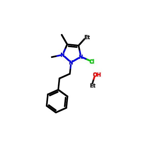 CCC1=C(C)N(C)N(CCc2ccccc2)N1Cl.CCO